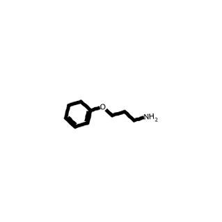 NCCCOC1=CC=CC[CH]1